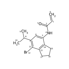 C=CC(=O)Nc1cc(C(C)C)c(Br)c2c1CCC2